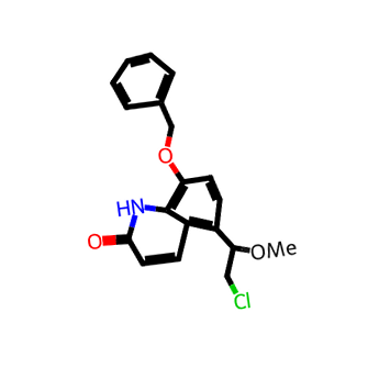 COC(CCl)c1ccc(OCc2ccccc2)c2[nH]c(=O)ccc12